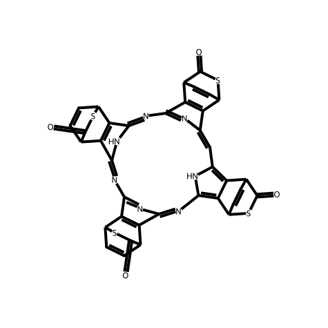 O=C1SC2C=CC1C1=C2c2cc3[nH]c(nc4nc(nc5[nH]c(nc1n2)c1c5C2C=CC1SC2=O)C1=C4C2C=CC1SC2=O)c1c3C2C=CC1SC2=O